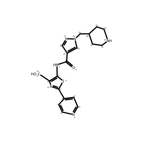 O=C(Nc1sc(-c2ccncc2)nc1C(=O)O)c1cnn(CC2CCNCC2)c1